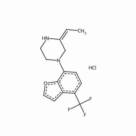 CC=C1CN(c2ccc(C(F)(F)F)c3ccoc23)CCN1.Cl